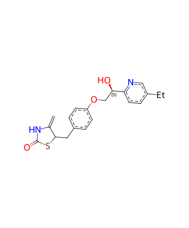 C=C1NC(=O)SC1Cc1ccc(OC[C@@H](O)c2ccc(CC)cn2)cc1